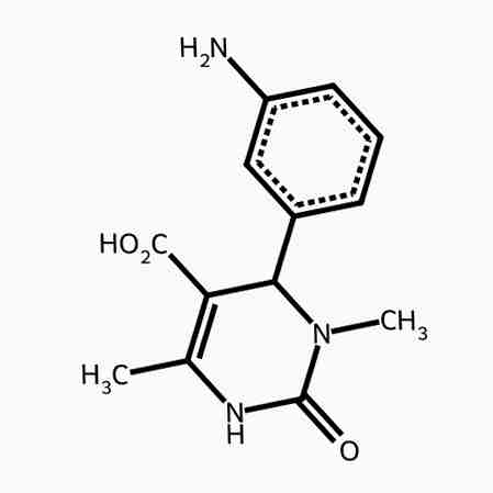 CC1=C(C(=O)O)C(c2cccc(N)c2)N(C)C(=O)N1